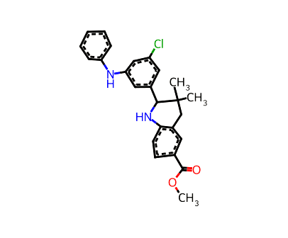 COC(=O)c1ccc2c(c1)CC(C)(C)C(c1cc(Cl)cc(Nc3ccccc3)c1)N2